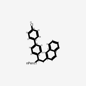 CCCCCC(Cc1ccc2ccccc2c1)c1ccc(-c2ccc(Cl)cc2)cc1